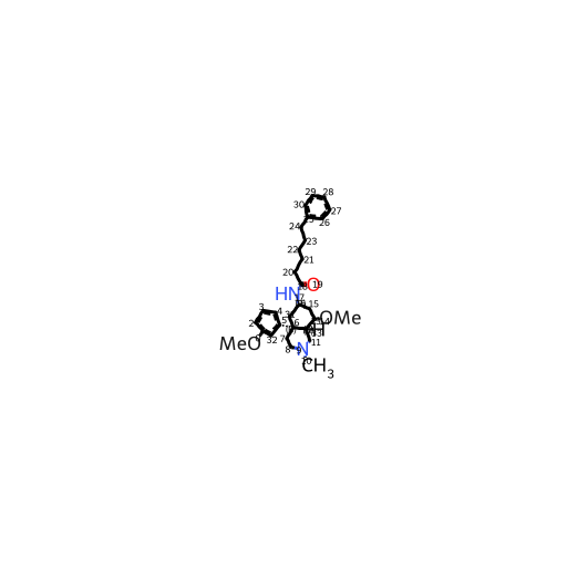 COc1cccc([C@@]23CCN(C)C[C@H]2C(OC)C[C@H](NC(=O)CCCCCc2ccccc2)C3)c1